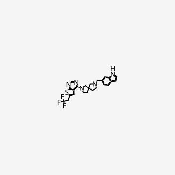 FC(F)(F)Cc1cc2c(N3CCC4(CCN(Cc5ccc6cc[nH]c6c5)C4)C3)ncnc2s1